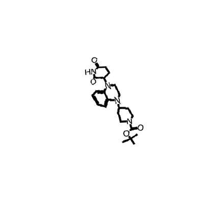 CC(C)(C)OC(=O)N1CCC(N2CCN(C3CCC(=O)NC3=O)c3ccccc32)CC1